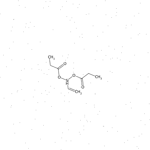 C=C[SiH](OC(=O)CC)OC(=O)CC